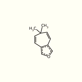 CC1(C)C=Cc2cocc2C=C1